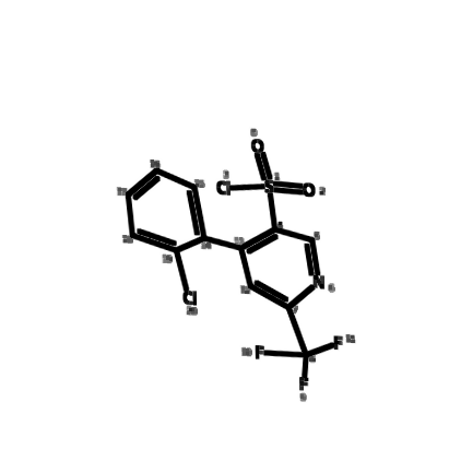 O=S(=O)(Cl)c1cnc(C(F)(F)F)cc1-c1ccccc1Cl